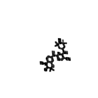 CCN1C(=O)C(C)(C)Oc2cc(Nc3ncc(C#N)c(NC4CC(C)(C)NC(C)(C)C4)n3)ccc21